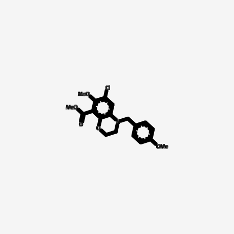 COC(=O)c1c(OC)c(Cl)cc2c1OCCN2Cc1ccc(OC)cc1